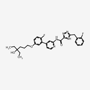 CCC(O)(CC)CCCOc1ccc(F)c(-c2ccnc(NC(=O)c3nnc(Cc4ccccc4F)[nH]3)c2)c1